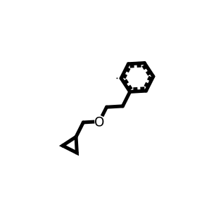 [c]1ccccc1CCOCC1CC1